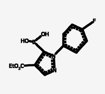 CCOC(=O)c1cnn(-c2ccc(F)cc2)c1B(O)O